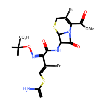 C=C(N)S/C=C(CCC)/C(=N/OC(C)(C)C(=O)O)C(=O)NC1C(=O)N2C(C(=O)OC)=C(CC)CSC12